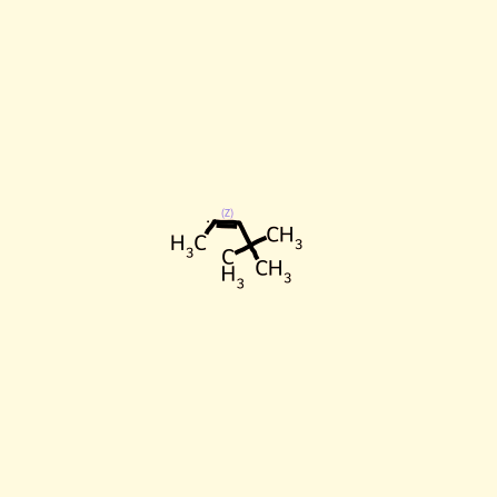 C/[C]=C\C(C)(C)C